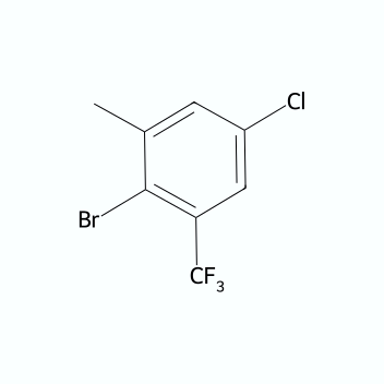 Cc1cc(Cl)cc(C(F)(F)F)c1Br